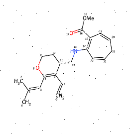 C=CC1=C(C=C(C)C)OCC[C@@H]1CNC1=C(C(=O)OC)C=CCC=C1